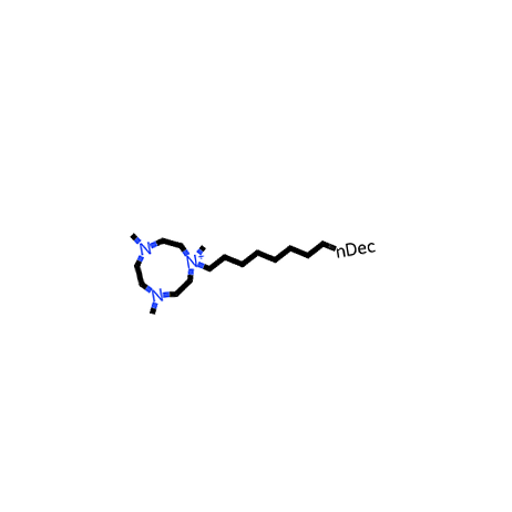 CCCCCCCCCCCCCCCCCC[N+]1(C)CCN(C)CCN(C)CC1